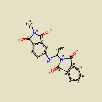 CCCC(Nc1ccc2c(c1)C(=O)N(C)C2=O)N1C(=O)c2ccccc2C1=O